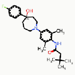 Cc1cc(N2CCC[C@](O)(c3ccc(F)cc3)CC2)cc(C)c1NC(=O)CC(C)(C)C